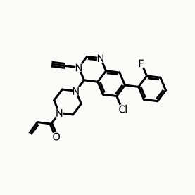 C#CN1C=Nc2cc(-c3ccccc3F)c(Cl)cc2C1N1CCN(C(=O)C=C)CC1